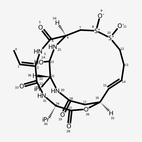 C/C=C1\NC(=O)[C@H]2C[S+]([O-])[S+]([O-])CC/C=C/[C@H](CC(=O)N[C@H](C(C)C)C(O)N2)OC(=O)[C@H](C(C)C)NC1=O